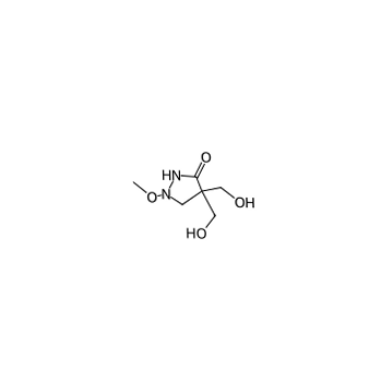 CON1CC(CO)(CO)C(=O)N1